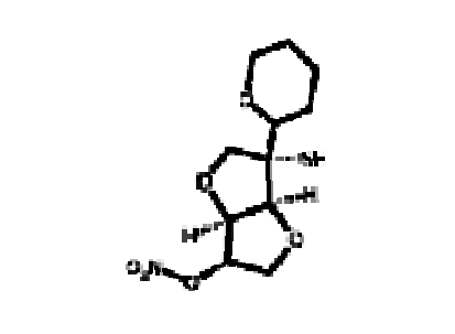 O=[N+]([O-])O[C@@H]1CO[C@H]2[C@@H]1OC[C@@]2(S)C1CCCCO1